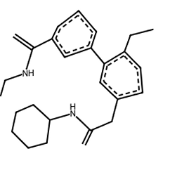 C=C(Cc1ccc(CC)c(-c2cccc(C(=C)NCC)c2)c1)NC1CCCCC1